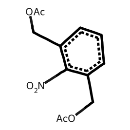 CC(=O)OCc1cccc(COC(C)=O)c1[N+](=O)[O-]